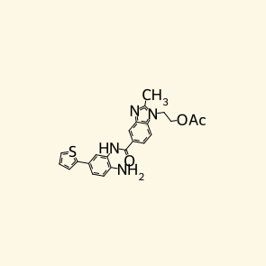 CC(=O)OCCn1c(C)nc2cc(C(=O)Nc3cc(-c4cccs4)ccc3N)ccc21